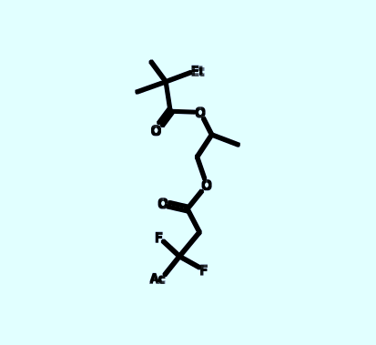 CCC(C)(C)C(=O)OC(C)COC(=O)CC(F)(F)C(C)=O